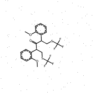 COc1ccccc1C(CSC(F)(F)F)C(=O)C(CSC(F)(F)F)c1ccccc1OC